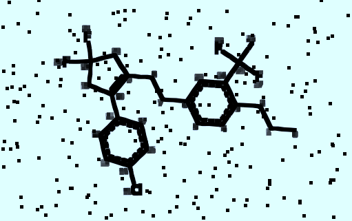 CCCc1ccc(CCC2=C(c3ccc(Cl)cc3)CC(F)(F)C2)cc1C(C)(F)F